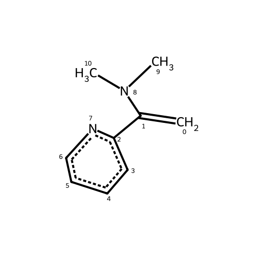 C=C(c1ccccn1)N(C)C